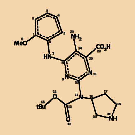 COc1ccccc1Nc1nc(N(C(=O)OC(C)(C)C)C2CCNC2)nc(C(=O)O)c1N